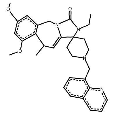 CCN1C(=O)N2Cc3cc(OC)cc(OC)c3C(C)C=C2C12CCN(Cc1cccc3cccnc13)CC2